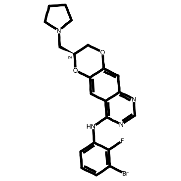 Fc1c(Br)cccc1Nc1ncnc2cc3c(cc12)O[C@@H](CN1CCCC1)CO3